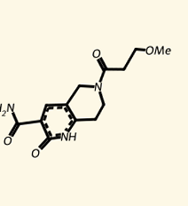 COCCC(=O)N1CCc2[nH]c(=O)c(C(N)=O)cc2C1